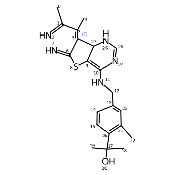 CC(=N)/C(C)=C1\C(=N)SC2=C(NCc3ccc(C(C)(C)O)c(C)c3)N=CNC21